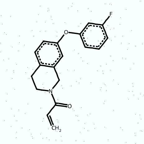 C=CC(=O)N1CCc2ccc(Oc3cccc(F)c3)cc2C1